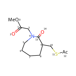 COC(=O)CN1CCCCC(CSC(C)=O)C1=O